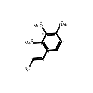 COc1ccc(C=CC#N)c(OC)c1OC